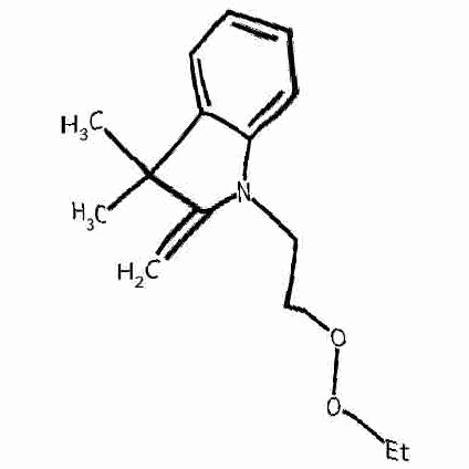 C=C1N(CCOOCC)c2ccccc2C1(C)C